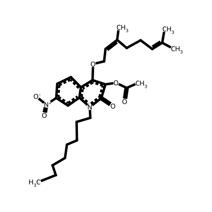 CCCCCCCCn1c(=O)c(OC(C)=O)c(OCC=C(C)CCC=C(C)C)c2ccc([N+](=O)[O-])cc21